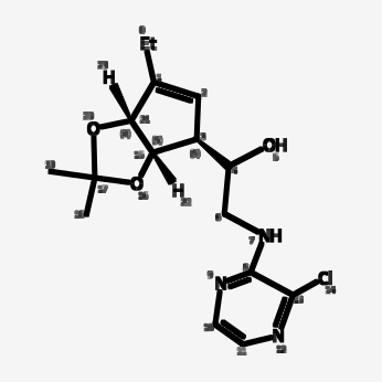 CCC1=C[C@@H](C(O)CNc2nccnc2Cl)[C@@H]2OC(C)(C)O[C@H]12